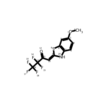 COc1ccc2c(c1)SC(=CC(=O)C(F)(F)C(F)(F)F)N2